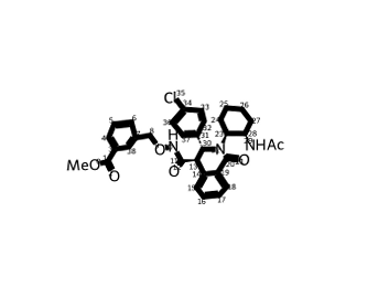 COC(=O)c1cccc(CONC(=O)[C@@H]2c3ccccc3C(=O)N([C@H]3CCCC[C@@H]3NC(C)=O)[C@H]2c2ccc(Cl)cc2)c1